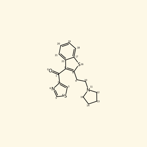 O=C(c1cscn1)c1c(CCN2CCCC2)sc2ccccc12